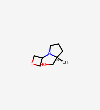 C[C@]1(CO)CCCN1C1COC1